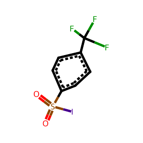 O=S(=O)(I)c1ccc(C(F)(F)F)cc1